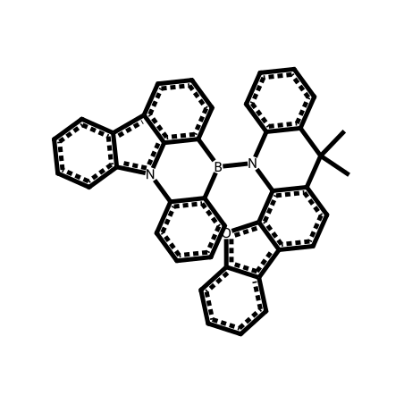 CC1(C)c2ccccc2N(B2c3ccccc3-n3c4ccccc4c4cccc2c43)c2c1ccc1c2oc2ccccc21